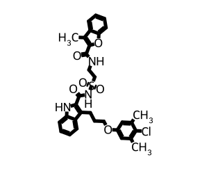 Cc1cc(OCCCc2c(C(=O)NS(=O)(=O)CCNC(=O)c3oc4ccccc4c3C)[nH]c3ccccc23)cc(C)c1Cl